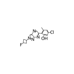 Cc1cc(Cl)cc(O)c1-c1cnc2cn(C3CC(F)C3)nc2n1